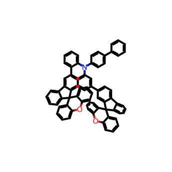 c1ccc(-c2ccc(N(c3cccc(-c4ccc5c(c4)C4(c6ccccc6Oc6ccccc64)c4ccccc4-5)c3)c3ccccc3-c3ccc4c(c3)-c3ccccc3C43c4ccccc4Oc4ccccc43)cc2)cc1